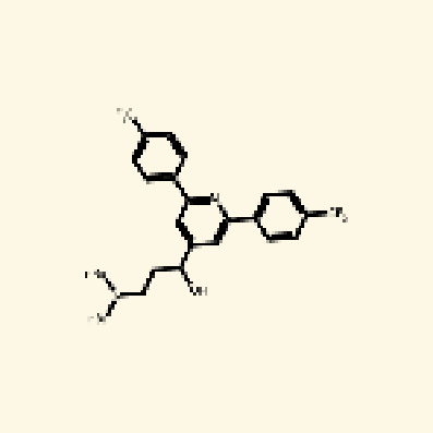 CCCCN(CCCC)CCC(O)c1cc(-c2ccc(C(F)(F)F)cc2)nc(-c2ccc(C(F)(F)F)cc2)c1